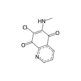 CNC1=C(Cl)C(=O)c2ncccc2C1=O